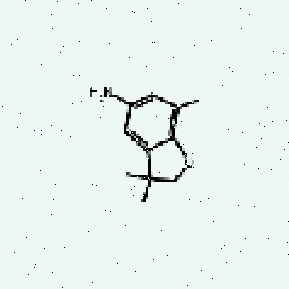 Cc1cc(N)cc2c1OCC2(C)C